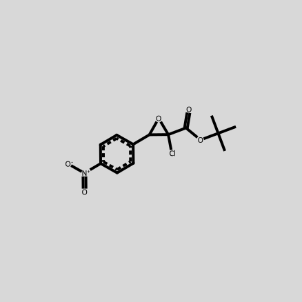 CC(C)(C)OC(=O)C1(Cl)OC1c1ccc([N+](=O)[O-])cc1